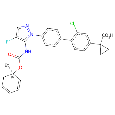 CC[C@]1(OC(=O)Nc2c(F)cnn2-c2ccc(-c3ccc(C4(C(=O)O)CC4)cc3Cl)cc2)C=CC=CC1